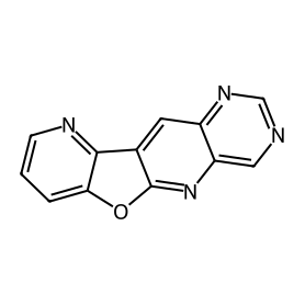 c1cnc2c(c1)oc1nc3cncnc3cc12